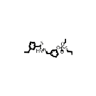 CCCSP(=O)(OCC)Oc1cccc(C=NNC(=S)c2cccc(CC)c2)c1